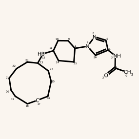 CC(=O)Nc1cnn(C2CCC(BC3CCCCCCCCCC3)CC2)c1